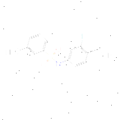 CCc1ccc(NS(=O)(=O)c2cccc(C)c2)cc1F